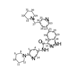 O=C(Nc1ccc(N2CCCCC2)nc1)c1n[nH]c2ccc(-c3cncc(CN4CCCCC4)c3)cc12